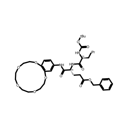 CC(C)C[C@H](NC(=O)OC(C)(C)C)C(=O)N[C@H](CCC(=O)OCc1ccccc1)C(=O)Nc1ccc2c(c1)OCCOCCOCCOCCO2